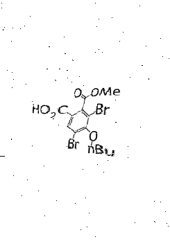 CCCCOc1c(Br)cc(C(=O)O)c(C(=O)OC)c1Br